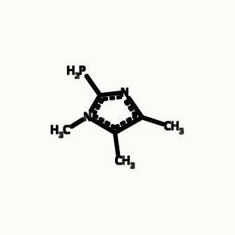 Cc1nc(P)n(C)c1C